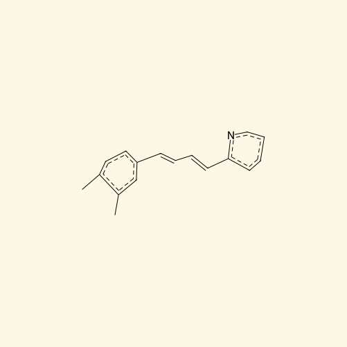 Cc1ccc(/C=C/C=C/c2ccccn2)cc1C